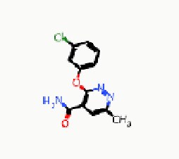 Cc1cc(C(N)=O)c(Oc2cccc(Cl)c2)nn1